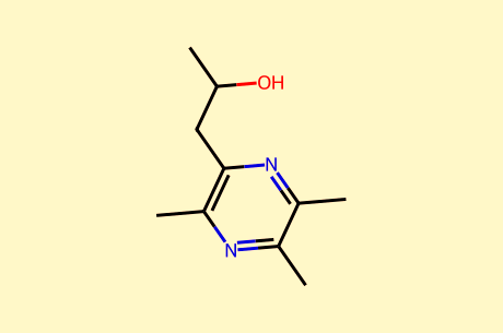 Cc1nc(C)c(CC(C)O)nc1C